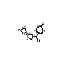 O=C(c1ccc(Br)cc1)N1CC[C@@H](N2CCCC2)C1